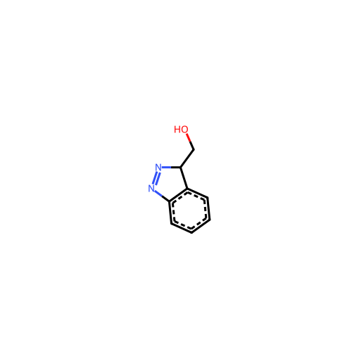 OCC1N=Nc2ccccc21